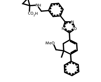 COCC1(C)CC(c2nc(-c3cccc(CNC4(C(=O)O)CC4)c3)no2)=CC=C1c1ccccc1